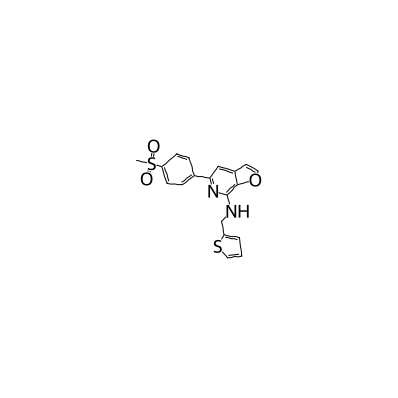 CS(=O)(=O)c1ccc(-c2cc3ccoc3c(NCc3cccs3)n2)cc1